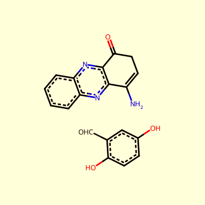 NC1=CCC(=O)c2nc3ccccc3nc21.O=Cc1cc(O)ccc1O